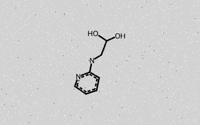 OC(O)C[N]c1ccccn1